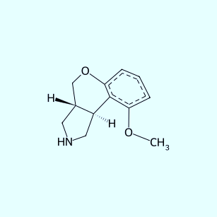 COc1cccc2c1[C@H]1CNC[C@@H]1CO2